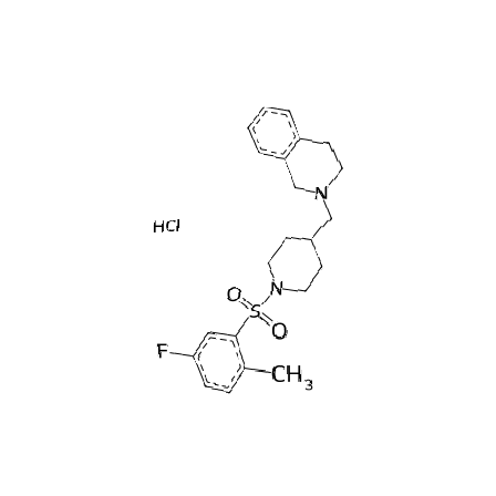 Cc1ccc(F)cc1S(=O)(=O)N1CCC(CN2CCc3ccccc3C2)CC1.Cl